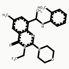 Cc1cc(C(C)Nc2ccccc2C(=O)O)c2nc(N3CCOCC3)n(CC(F)(F)F)c(=O)c2c1